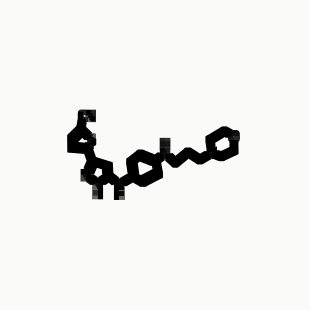 N#Cc1ccc(-c2cc(Nc3ccc(NCCCN4CCOCC4)cc3)[nH]n2)s1